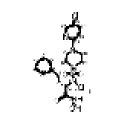 CN([C@@H](CCc1ccccc1)C(=O)NO)S(=O)(=O)N1CCN(c2ccc(Cl)cn2)CC1